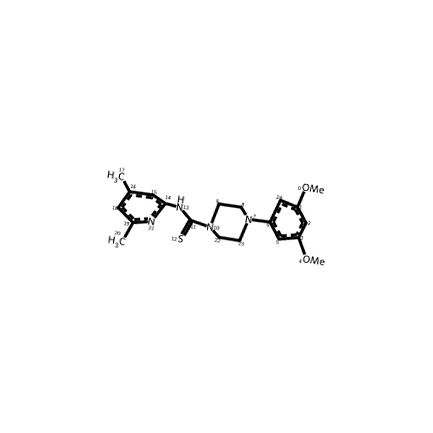 COc1cc(OC)cc(N2CCN(C(=S)Nc3cc(C)cc(C)n3)CC2)c1